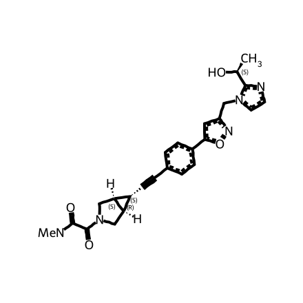 CNC(=O)C(=O)N1C[C@@H]2[C@@H](C#Cc3ccc(-c4cc(Cn5ccnc5[C@H](C)O)no4)cc3)[C@@H]2C1